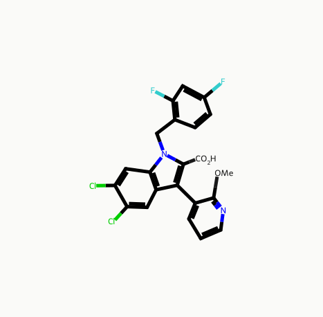 COc1ncccc1-c1c(C(=O)O)n(Cc2ccc(F)cc2F)c2cc(Cl)c(Cl)cc12